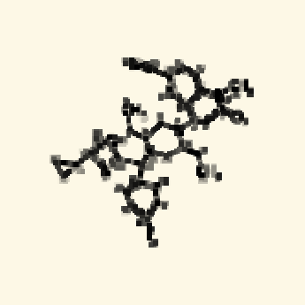 CCC1CN(c2cc(=O)n(C)c3ccc(C#N)nc23)[C@@H](CC)CN1C(c1ccc(F)cc1)c1nc(C2CC2)no1